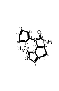 Cc1ncc2ccc3[nH]c(=O)n(-c4ccccc4)c3n12